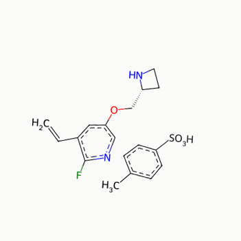 C=Cc1cc(OC[C@H]2CCN2)cnc1F.Cc1ccc(S(=O)(=O)O)cc1